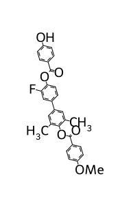 COc1ccc(C(=O)Oc2c(C)cc(-c3ccc(OC(=O)c4ccc(O)cc4)c(F)c3)cc2C)cc1